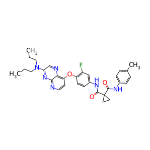 CCCN(CCC)c1cnc2c(Oc3ccc(NC(=O)C4(C(=O)Nc5ccc(C)cc5)CC4)cc3F)ccnc2n1